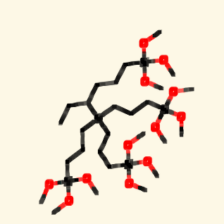 CCC(CCC[Si](OC)(OC)OC)[Si](CCC[Si](OC)(OC)OC)(CCC[Si](OC)(OC)OC)CCC[Si](OC)(OC)OC